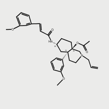 C=CCN1CC[C@@]2(c3cccc(OC)c3)C[C@H](NC(=O)C=Cc3cccc(OC)c3)CC[C@]2(OC(C)=O)C1